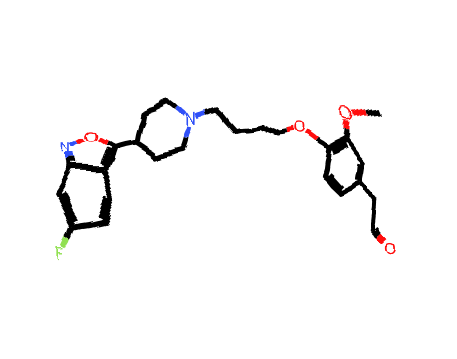 COc1cc(CC=O)ccc1OCCCCN1CCC(c2onc3cc(F)ccc23)CC1